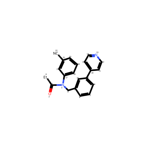 CCC(=O)N(Cc1cccc(-c2ccncc2)c1)c1cccc(C#N)c1